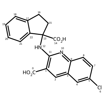 O=C(O)c1cc2cc(Cl)ccc2nc1NC1(C(=O)O)CCc2ccccc21